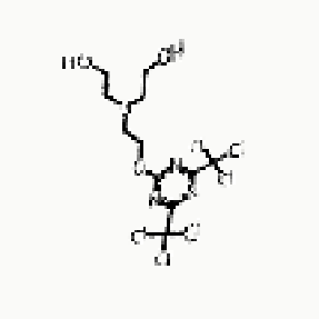 OCCN(CCO)CCOc1nc(C(Cl)(Cl)Cl)nc(C(Cl)(Cl)Cl)n1